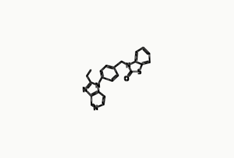 CCc1nc2cnccc2n1-c1ccc(Cn2c(=O)sc3ccccc32)cc1